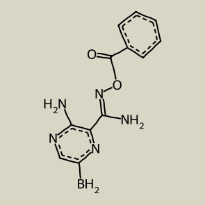 Bc1cnc(N)c(/C(N)=N/OC(=O)c2ccccc2)n1